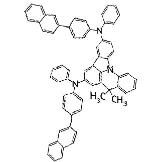 CC1(C)c2ccccc2-n2c3ccc(N(c4ccccc4)c4ccc(-c5ccc6ccccc6c5)cc4)cc3c3cc(N(c4ccccc4)c4ccc(-c5ccc6ccccc6c5)cc4)cc1c32